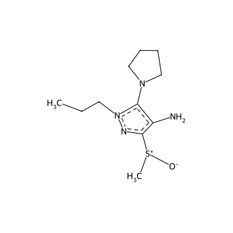 CCCn1nc([S+](C)[O-])c(N)c1N1CCCC1